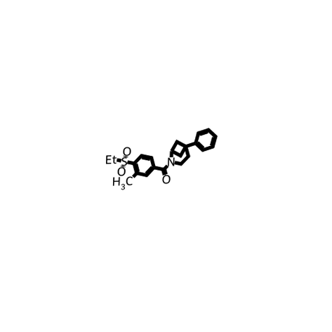 CCS(=O)(=O)c1ccc(C(=O)N2CCC3(c4ccccc4)CC2C3)cc1C